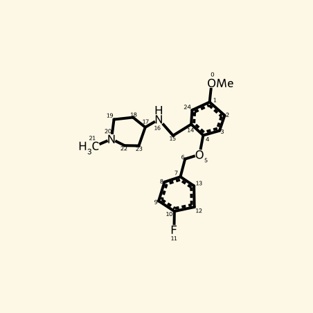 COc1ccc(OCc2ccc(F)cc2)c(CNC2CCN(C)CC2)c1